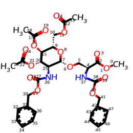 COC(=O)[C@H](CO[C@H]1O[C@@H](COC(C)=O)[C@H](OC(C)=O)[C@@H](OC(C)=O)[C@@H]1NC(=O)OCc1ccccc1)NC(=O)OCc1ccccc1